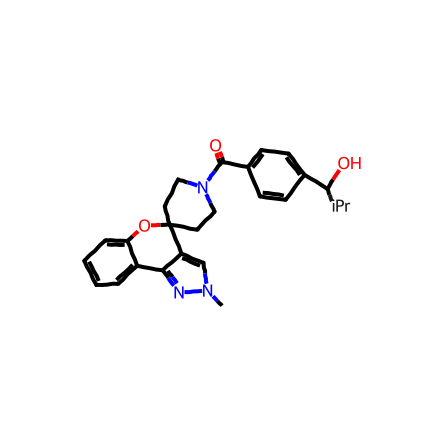 CC(C)C(O)c1ccc(C(=O)N2CCC3(CC2)Oc2ccccc2-c2nn(C)cc23)cc1